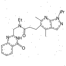 CCN(Cc1nc2ccccc2c(=O)[nH]1)C(=O)CCc1c(C)nc2c(cnn2C(C)C)c1C